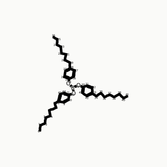 CCCCCCCCc1ccc(OB(Oc2ccc(CCCCCCCC)cc2)Oc2ccc(CCCCCCCC)cc2)cc1